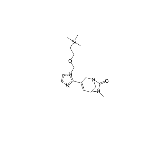 CN1C(=O)N2CC(c3nccn3COCC[Si](C)(C)C)=CC1C2